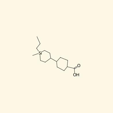 CCC[Si]1(C)CCC(C2CCC(C(=O)O)CC2)CC1